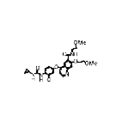 COCCNC(=O)c1cc2c(Oc3ccc(NC(=O)NC4CC4)c(Cl)c3)ccnc2cc1OCCOC